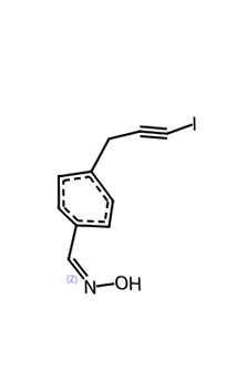 O/N=C\c1ccc(CC#CI)cc1